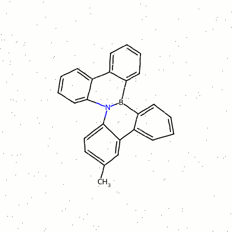 Cc1ccc2c(c1)-c1ccccc1B1c3ccccc3-c3ccccc3N12